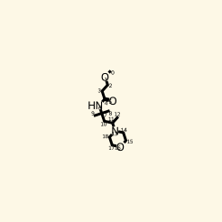 COCCC(=O)NC(C)(C)CC(C)N1CCOCC1